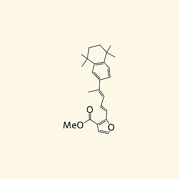 COC(=O)c1ccoc1/C=C/C=C(\C)c1ccc2c(c1)C(C)(C)CCC2(C)C